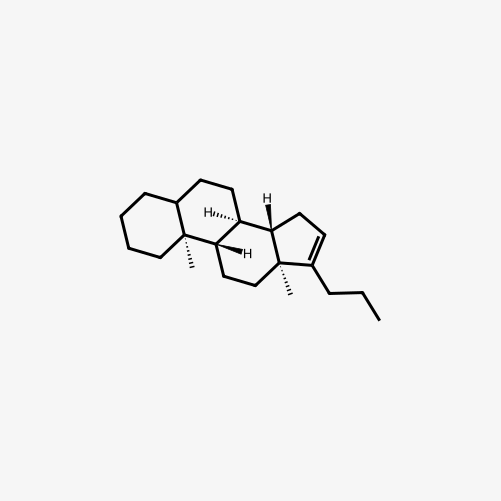 CCCC1=CC[C@H]2[C@@H]3CCC4CCCC[C@]4(C)[C@H]3CC[C@]12C